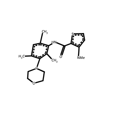 CNc1ccsc1C(=O)Nc1c(C)cc(C)c(N2CCOCC2)c1C